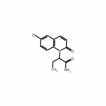 CCC(C(N)=O)n1c(=O)ccc2cc(Cl)ccc21